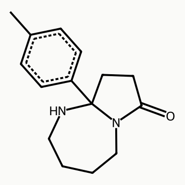 Cc1ccc(C23CCC(=O)N2CCCCN3)cc1